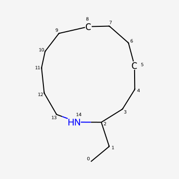 CCC1CCCCCCCCCCCN1